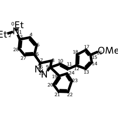 CCN(CC)c1ccc(C2CC(C=Cc3ccc(OC)cc3)(c3ccccc3)N=N2)cc1